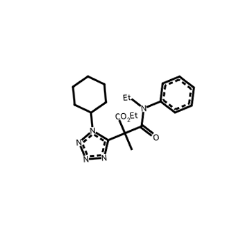 CCOC(=O)C(C)(C(=O)N(CC)c1ccccc1)c1nnnn1C1CCCCC1